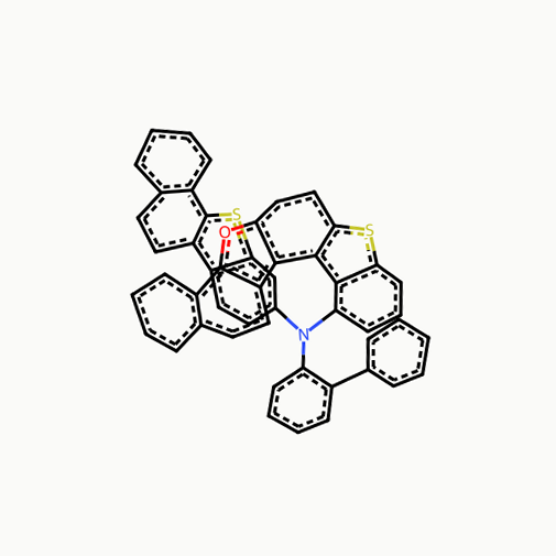 c1ccc(-c2ccccc2N(c2ccc3c(c2)sc2c4ccccc4ccc32)c2cccc3sc4ccc5oc6c7ccccc7ccc6c5c4c23)cc1